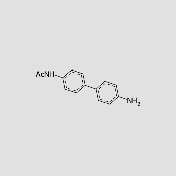 CC(=O)Nc1ccc(-c2ccc(N)cc2)cc1